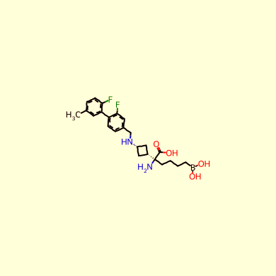 Cc1ccc(F)c(-c2ccc(CN[C@H]3C[C@@H](C(N)(CCCCB(O)O)C(=O)O)C3)cc2F)c1